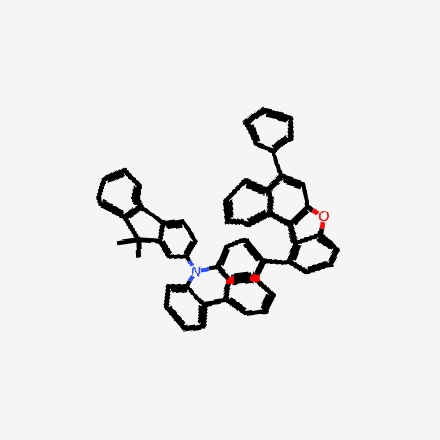 CC1(C)c2ccccc2-c2ccc(N(c3ccc(-c4cccc5oc6cc(-c7ccccc7)c7ccccc7c6c45)cc3)c3ccccc3-c3ccccc3)cc21